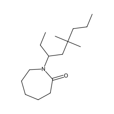 CCCC(C)(C)CC(CC)N1CCCCCC1=O